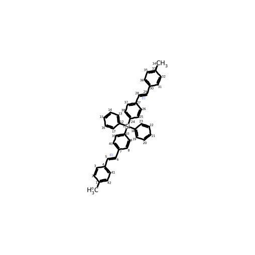 Cc1ccc(/C=C/c2ccc([Si](c3ccccc3)(c3ccccc3)c3ccc(/C=C/c4ccc(C)cc4)cc3)cc2)cc1